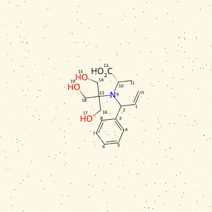 C=CC(c1ccccc1)N([C@@H](C)C(=O)O)C(CO)(CO)CO